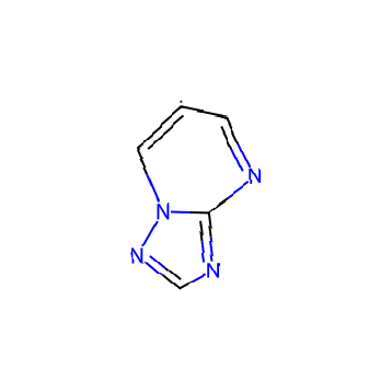 [c]1cnc2ncnn2c1